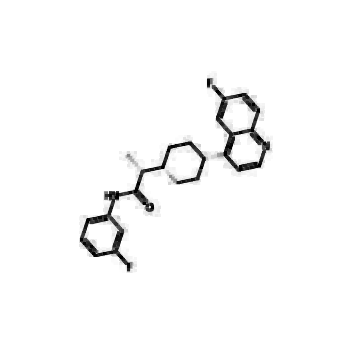 C[C@@H](C(=O)Nc1cccc(F)c1)[C@H]1CC[C@@H](c2ccnc3ccc(F)cc32)CC1